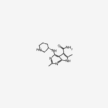 Cc1nc(NC2CCCNC2)c2c(C(N)=O)c(C)[nH]c2n1